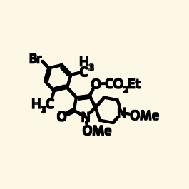 CCOC(=O)OC1=C(c2c(C)cc(Br)cc2C)C(=O)N(OC)C12CCN(OC)CC2